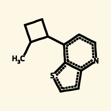 CC1CCC1c1ccnc2ccsc12